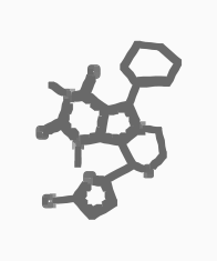 Cn1c(=O)c2c(C3=CCCCC3)n3c(c2n(C)c1=O)C(c1ccc(Cl)o1)SCC3